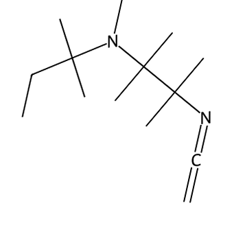 C=C=NC(C)(C)C(C)(C)N(C)C(C)(C)CC